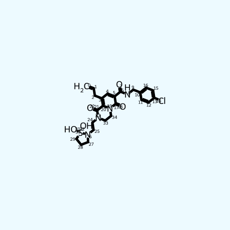 C=CCc1cc(C(=O)NCc2ccc(Cl)cc2)c(=O)n2c1C(=O)N(CCN1CCCS1(O)O)CC2